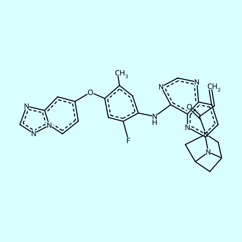 C=CC(=O)N1CC2CC(C1)N2c1ccc2ncnc(Nc3cc(C)c(Oc4ccn5ncnc5c4)cc3F)c2n1